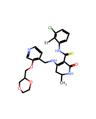 CCc1c(Cl)cccc1NC(=S)C1=C(NCc2ccncc2OCC2COCCO2)CC(C)NC1=O